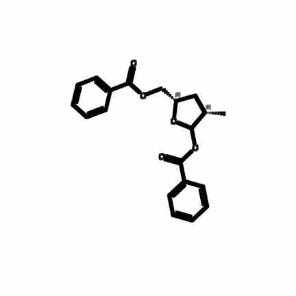 C[C@H]1C[C@@H](COC(=O)c2ccccc2)OC1OC(=O)c1ccccc1